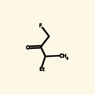 [CH2]CC(C)C(=O)CF